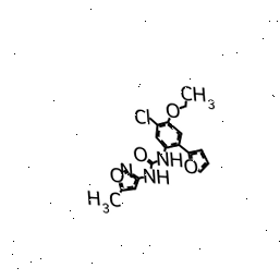 CCOc1cc(-c2ccco2)c(NC(=O)Nc2cc(C)on2)cc1Cl